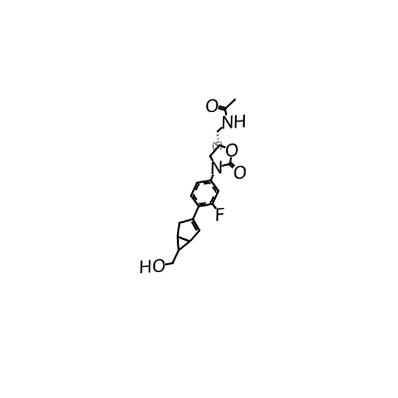 CC(=O)NC[C@H]1CN(c2ccc(C3=CC4C(CO)C4C3)c(F)c2)C(=O)O1